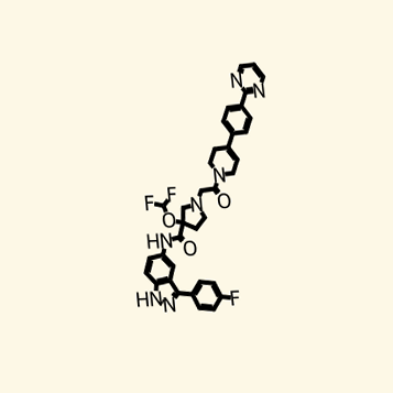 O=C(CN1CCC(OC(F)F)(C(=O)Nc2ccc3[nH]nc(-c4ccc(F)cc4)c3c2)C1)N1CC=C(c2ccc(-c3ncccn3)cc2)CC1